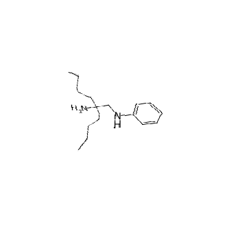 CCCCC(N)(CCCC)CNc1ccccc1